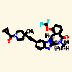 [2H]C([2H])([2H])N1C(=O)c2cccc(OC(F)F)c2[C@H]2C[C@@H]1c1nc3ccc(C#CC4(C)CCN(C(=O)C5CC5)CC4)cc3n12